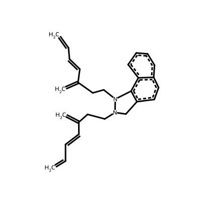 C=CC=CC(=C)CCN1Cc2ccc3ccccc3c2N1CCC(=C)C=CC=C